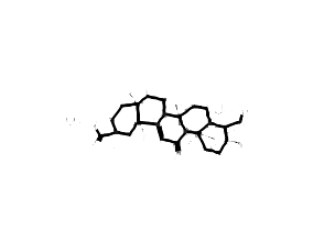 COC(=O)[C@@]1(C)CC[C@]2(C)CC[C@]3(C)C(=CC(=O)[C@@H]4[C@@]5(C)CC[C@H](O)[C@](C)(CO)[C@@H]5CC[C@]43C)[C@@H]2C1